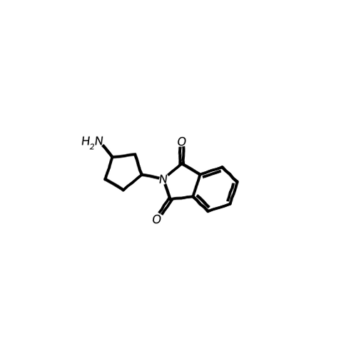 NC1CCC(N2C(=O)c3ccccc3C2=O)C1